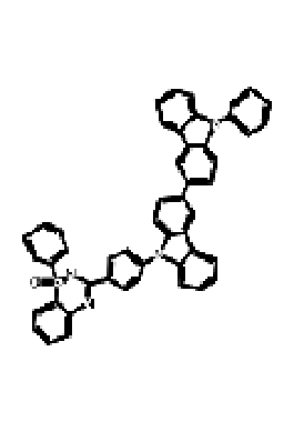 O=S1(c2ccccc2)=NC(c2ccc(-n3c4ccccc4c4cc(-c5ccc6c(c5)c5ccccc5n6-c5ccccc5)ccc43)cc2)=Nc2ccccc21